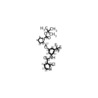 CC(C)(C)OC(=O)N1CCC[C@H]1COc1cc(NC(=O)c2cccnc2Cl)cc(C(F)(F)F)c1